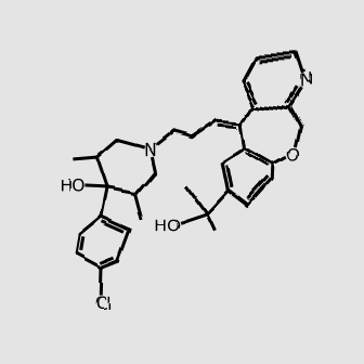 CC1CN(CC/C=C2\c3cc(C(C)(C)O)ccc3OCc3ncccc32)CC(C)C1(O)c1ccc(Cl)cc1